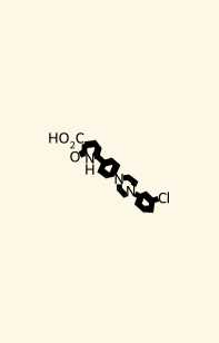 O=C(O)c1ccc(-c2ccc(N3CCN(c4cccc(Cl)c4)CC3)cc2)[nH]c1=O